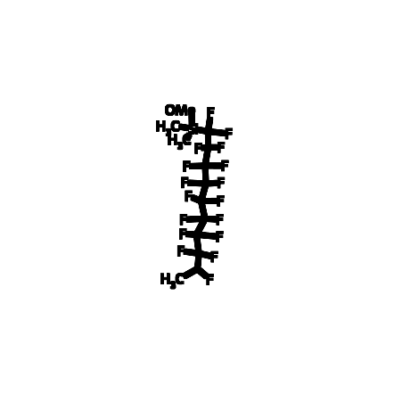 CO[Si](C)(C)C(F)(F)C(F)(F)C(F)(F)C(F)(F)C(F)(F)C(F)(F)C(F)(F)C(F)(F)C(C)F